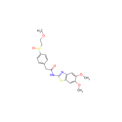 COCC[S+]([O-])c1ccc(CC(=O)Nc2nc3cc(OC)c(OC)cc3s2)cc1